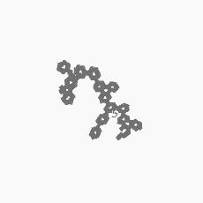 C=C/C=C\c1c(C)c2ccc(-c3cccc4c3sc3c(-c5ccc(-c6ccccc6)cc5)cc(-c5ccc6c7ccc(-c8cccc(-c9ccc%10c(c9)c9cc%11c(cc9n%10-c9ccccc9)C(C)(C)c9ccccc9-%11)c8)cc7c7ccccc7c6c5)cc34)cc2c2ccccc12